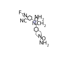 C=C(/N=C(\ON)c1ccc(N2CC(F)C2)c(C#N)c1)c1ccc2c(c1)CCN(C(=O)CN)CC2